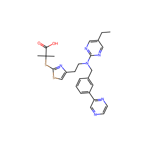 CCc1cnc(N(CCc2csc(SC(C)(C)C(=O)O)n2)Cc2cccc(-c3cnccn3)c2)nc1